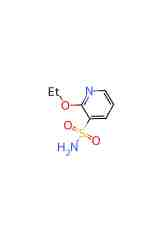 CCOc1ncccc1S(N)(=O)=O